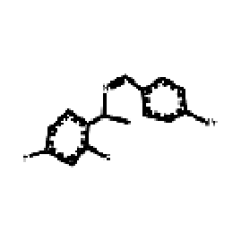 CC(C)c1ccc(/C=N\C(C)c2ccc(F)cc2F)cc1